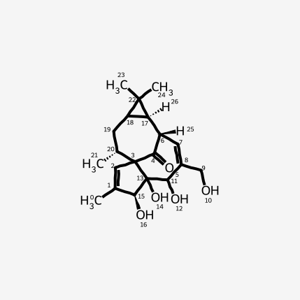 CC1=CC23C(=O)[C@@H](C=C(CO)C(O)C2(O)[C@H]1O)[C@H]1C(C[C@H]3C)C1(C)C